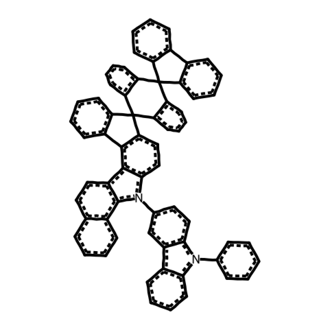 c1ccc(-n2c3ccccc3c3cc(-n4c5ccc6c(c5c5ccc7ccccc7c54)-c4ccccc4C64c5ccccc5C5(c6ccccc6-c6ccccc65)c5ccccc54)ccc32)cc1